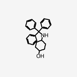 OC1CCC(NC(c2ccccc2)(c2ccccc2)c2ccccc2)CC1